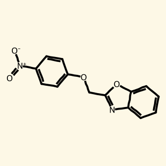 O=[N+]([O-])c1ccc(OCc2nc3ccccc3o2)cc1